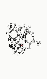 BC(B)(B)C1(B)C(C)CC(C(CC)Oc2ccc(C(F)(F)F)cn2)N1C(=O)c1cc(F)ccc1-c1ncccn1